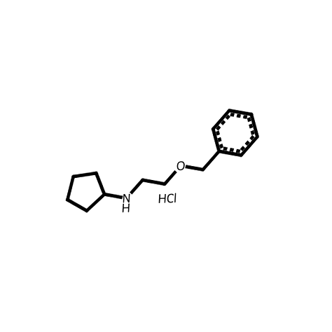 Cl.c1ccc(COCCNC2CCCC2)cc1